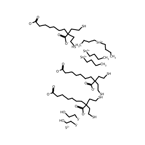 CCC[CH2][Sn+2][CH2]CCC.CCC[CH2][Sn+3].CCC[CH2][Sn+3].O=C([O-])CCCCCCC(CCS)(CCS)C(=O)[O-].O=C([O-])CCCCCCC(CCS)(CCS)C(=O)[O-].O=C([O-])CCCCCCC(CCS)(CCS)C(=O)[O-].OCC[S-].OCC[S-].[S-2]